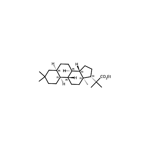 CCOC(=O)C(C)(C)[C@H]1CC[C@H]2[C@@H]3CC[C@@H]4CC(C)(C)CC[C@@H]4[C@H]3CC[C@]12C